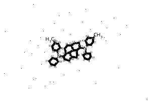 Cc1ccc(N(c2ccccc2)c2ccc3ccc4c(N(c5ccccc5)c5ccc(C)cc5)ccc5ccc2c3c54)cc1